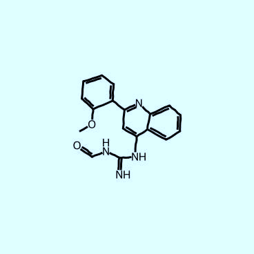 COc1ccccc1-c1cc(NC(=N)NC=O)c2ccccc2n1